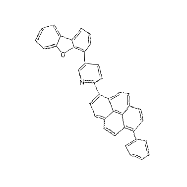 c1ccc(-c2ccc3ccc4c(-c5ccc(-c6cccc7c6oc6ccccc67)cn5)ccc5ccc2c3c54)cc1